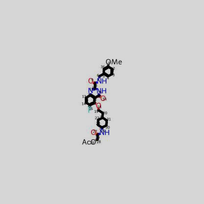 COc1cccc(CNC(=O)c2nc3ccc(F)c(OCCC4CCC(NC(=O)COC(C)=O)CC4)c3c(=O)[nH]2)c1